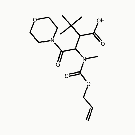 C=CCOC(=O)N(C)C(C(=O)N1CCOCC1)C(C(=O)O)C(C)(C)C